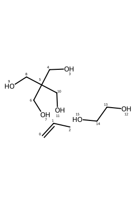 C=CC.OCC(CO)(CO)CO.OCCO